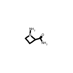 NC(=O)C1CCN1N